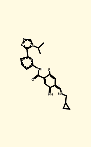 CC(C)n1cnnc1-c1cccc(NC(=O)C2=CC(=N)/C(=C\NCC3CC3)C=C2F)n1